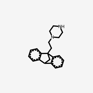 c1ccc2c(c1)C1CC2(CCN2CCNCC2)c2ccccc21